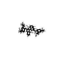 COc1c(Cc2ccc(C(F)(F)F)cc2C(F)(F)F)cc2ccccc2c1-c1c(OC)c(Cc2ccc(C(F)(F)F)cc2C(F)(F)F)cc2ccccc12